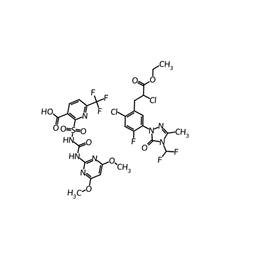 CCOC(=O)C(Cl)Cc1cc(-n2nc(C)n(C(F)F)c2=O)c(F)cc1Cl.COc1cc(OC)nc(NC(=O)NS(=O)(=O)c2nc(C(F)(F)F)ccc2C(=O)O)n1